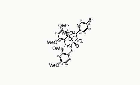 COc1ccc(CN(Cc2ccc(OC)cc2OC)S(=O)(=O)[C@H](C)[C@@H](OC)c2ccc(Br)cn2)c(OC)c1